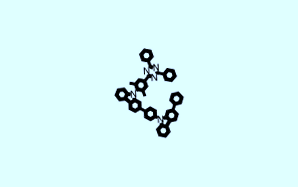 Cc1cc(-c2nc(-c3ccccc3)nc(-c3ccccc3)n2)cc(C)c1-n1c2ccccc2c2ccc(-c3ccc(-n4c5ccccc5c5ccc(-c6ccccc6)cc54)cc3)cc21